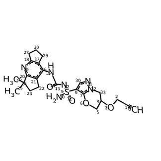 C#CCOC1COc2c(S(N)(=O)=NC(=O)Nc3c4c(nc5c3CCC5(C)C)CCC4)cnn2C1